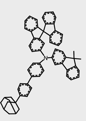 CC1(C)c2ccccc2-c2cc(N(c3ccc(-c4ccc(C56CC7CC(CC(C7)C5)C6)cc4)cc3)c3ccc4c(c3)C3(c5ccccc5-c5ccccc53)c3ccccc3-4)ccc21